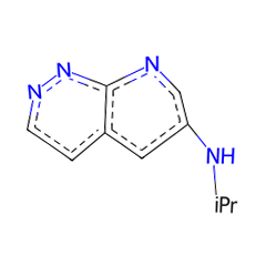 CC(C)Nc1cnc2nnccc2c1